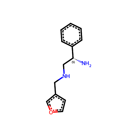 N[C@H](CNCc1ccoc1)c1ccccc1